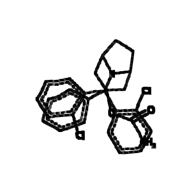 NC(=O)OC1(c2ccccc2)CC2CCC(C1)N2C(c1ccccc1Cl)c1ccccc1Cl